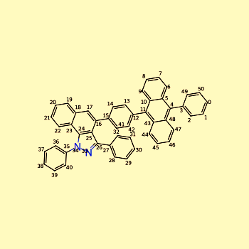 c1ccc(-c2c3ccccc3c(-c3ccc(-c4cc5ccccc5c5c4c(-c4ccccc4)nn5-c4ccccc4)cc3)c3ccccc23)cc1